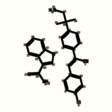 CCc1ccc(/C=C(\C#N)c2ccc(C(C)(C)CN)cc2)cc1.NC(=O)c1coc2ccccc12